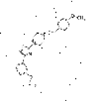 COc1ccc(CCN2CCN(c3nc(-c4cccc(OC)c4)ns3)CC2)cc1